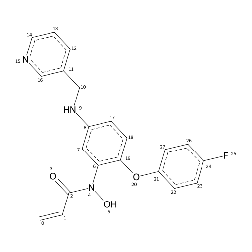 C=CC(=O)N(O)c1cc(NCc2cccnc2)ccc1Oc1ccc(F)cc1